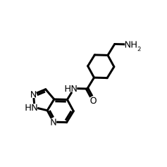 NCC1CCC(C(=O)Nc2ccnc3[nH]ncc23)CC1